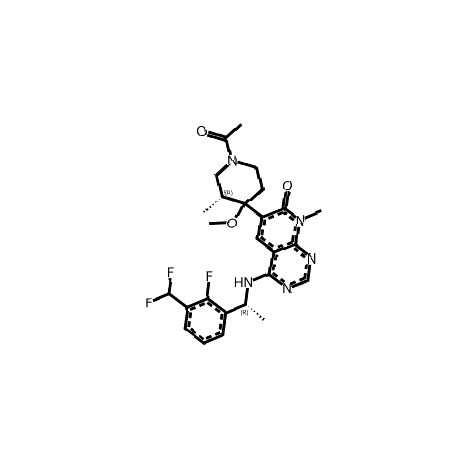 COC1(c2cc3c(N[C@H](C)c4cccc(C(F)F)c4F)ncnc3n(C)c2=O)CCN(C(C)=O)C[C@H]1C